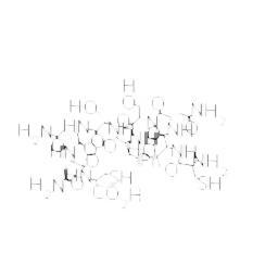 CC(C)C[C@H](NC(=O)[C@@H](NC(=O)[C@H](CC(N)=O)NC(=O)[C@@H](NC(=O)[C@@H](N)CS)[C@@H](C)O)[C@@H](C)O)C(=O)N[C@@H](CO)C(=O)N[C@@H](CC(N)=O)C(=O)N[C@@H](CC(N)=O)C(=O)N[C@@H](CS)C(=O)O